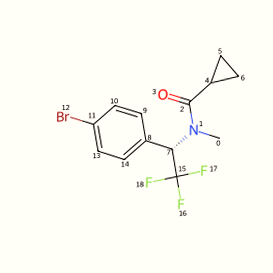 CN(C(=O)C1CC1)[C@@H](c1ccc(Br)cc1)C(F)(F)F